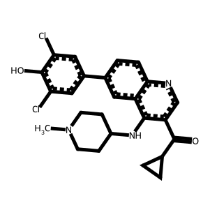 CN1CCC(Nc2c(C(=O)C3CC3)cnc3ccc(-c4cc(Cl)c(O)c(Cl)c4)cc23)CC1